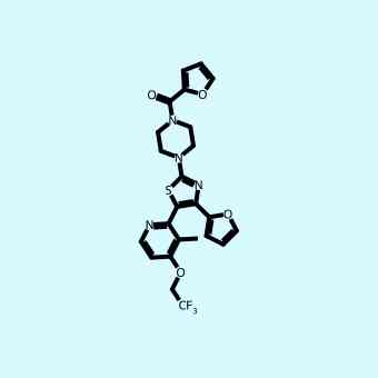 Cc1c(OCC(F)(F)F)ccnc1-c1sc(N2CCN(C(=O)c3ccco3)CC2)nc1-c1ccco1